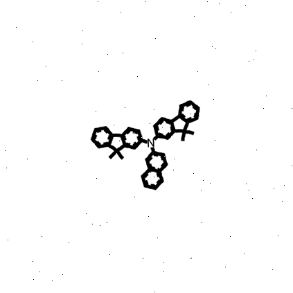 CC1(C)c2ccccc2-c2ccc(N(c3ccc4c(c3)C(C)(C)c3ccccc3-4)c3ccc4ccccc4c3)cc21